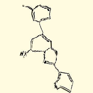 Nc1cc(-c2cccc(F)c2)cc2nc(-c3ccccc3)nn12